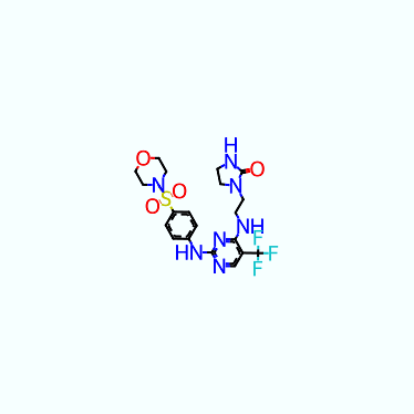 O=C1NCCN1CCNc1nc(Nc2ccc(S(=O)(=O)N3CCOCC3)cc2)ncc1C(F)(F)F